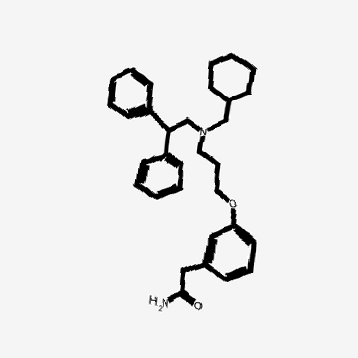 NC(=O)Cc1cccc(OCCCN(CC2CCCCC2)CC(c2ccccc2)c2ccccc2)c1